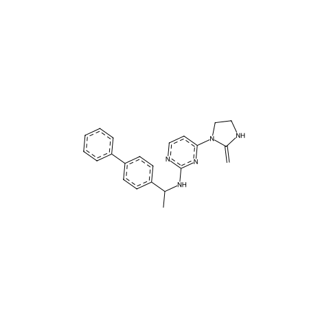 C=C1NCCN1c1ccnc(NC(C)c2ccc(-c3ccccc3)cc2)n1